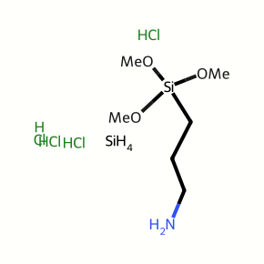 CO[Si](CCCN)(OC)OC.Cl.Cl.Cl.Cl.[SiH4]